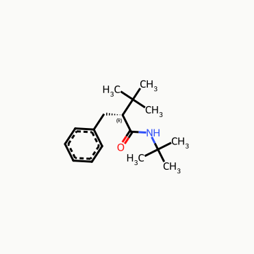 CC(C)(C)NC(=O)[C@H](Cc1ccccc1)C(C)(C)C